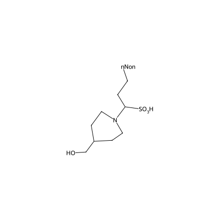 CCCCCCCCCCCC(N1CCC(CO)CC1)S(=O)(=O)O